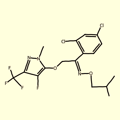 CC(C)CO/N=C(/COc1c(F)c(C(F)(F)F)nn1C)c1ccc(Cl)cc1Cl